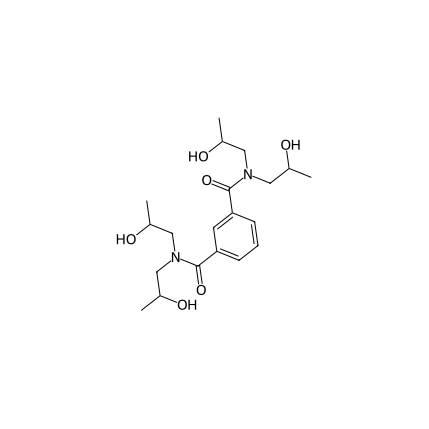 CC(O)CN(CC(C)O)C(=O)c1cccc(C(=O)N(CC(C)O)CC(C)O)c1